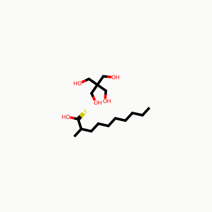 CCCCCCCCC(C)C(O)=S.OCC(CO)(CO)CO